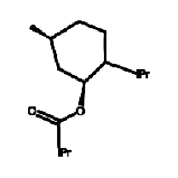 CC(C)C(=O)O[C@H]1C[C@@H](C)CCC1C(C)C